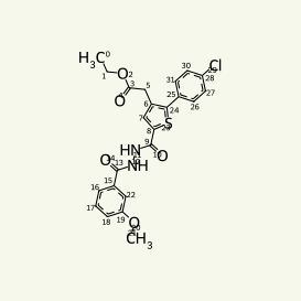 CCOC(=O)Cc1cc(C(=O)NNC(=O)c2cccc(OC)c2)sc1-c1ccc(Cl)cc1